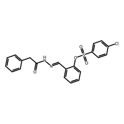 O=C(Cc1ccccc1)NN=Cc1ccccc1OS(=O)(=O)c1ccc(Cl)cc1